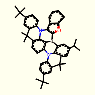 CC(C)c1cc2c3c(c1)C(C)(C)c1cc(C(C)(C)C)ccc1N3c1ccc3c4c1B2c1oc2ccccc2c1N4c1ccc(C(C)(C)C)cc1C3(C)C